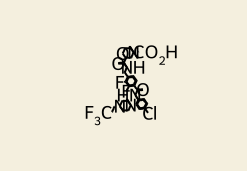 O=C(Nc1ccc(Cl)cc1N1CCN(CCC(F)(F)F)CC1)c1ccc(CNC(=O)C2CN(C(=O)O)CCO2)c(F)c1F